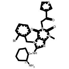 Cn1c(=O)n(CC(=O)c2ccsc2)c(=O)c2c1nc(N[C@H]1CCCC[C@@H]1N)n2Cc1ccccc1Br